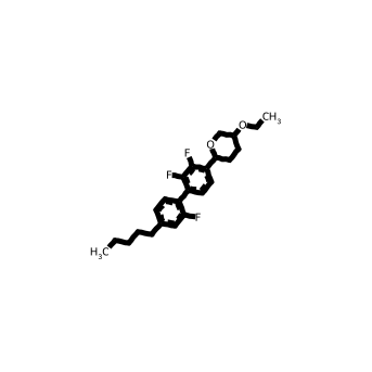 CCCCCc1ccc(-c2ccc(C3CCC(OCC)CO3)c(F)c2F)c(F)c1